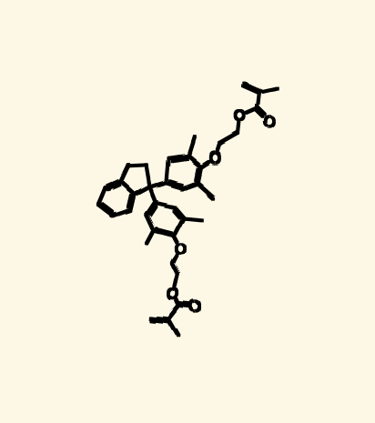 C=C(C)C(=O)OCCOc1c(C)cc(C2(c3cc(C)c(OCCOC(=O)C(=C)C)c(C)c3)CCc3ccccc32)cc1C